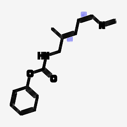 C=N/C=C\C=C(/C)CNC(=O)Oc1ccccc1